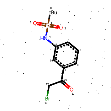 CC(C)(C)S(=O)(=O)Nc1cccc(C(=O)CBr)c1